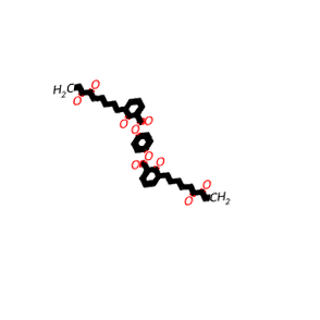 C=CC(=O)C(=O)CCCCCC1C=CC=C(C(=O)Oc2ccc(OC(=O)C3=CC=CC(CCCCCC(=O)C(=O)C=C)C3=O)cc2)C1=O